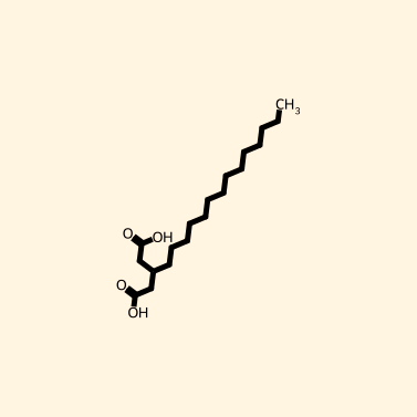 CCCCCCCCCCCCCCC(CC(=O)O)CC(=O)O